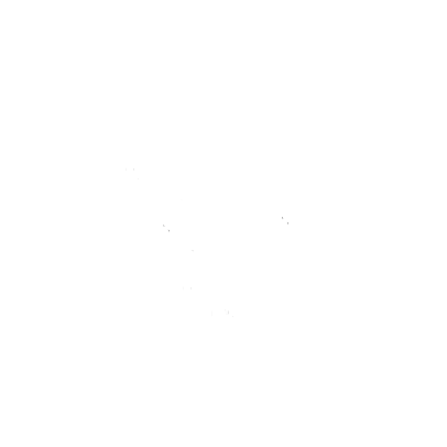 CCCCOC(=O)N[C@@H](CCO)C(=O)O.CCN(CC)CC